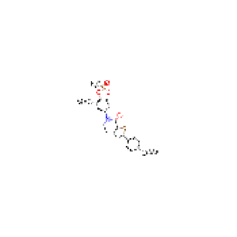 COc1ccc(-c2cc3c(s2)C(=O)N(c2ccc(OS(=O)(=O)C(F)(F)F)c(OC)c2)CC3)cc1